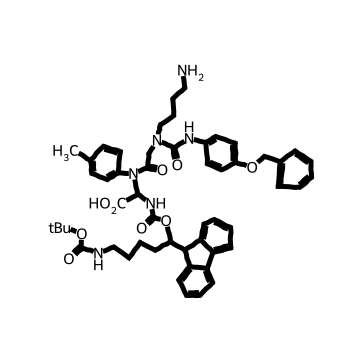 Cc1ccc(N(C(=O)CN(CCCCN)C(=O)Nc2ccc(OCc3ccccc3)cc2)C(NC(=O)OC(CCCCNC(=O)OC(C)(C)C)C2c3ccccc3-c3ccccc32)C(=O)O)cc1